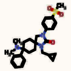 CN(C)C1(c2ccccc2)CCC2(CC1)CN(c1ccc(S(C)(=O)=O)cc1)C(=O)N2CC1CC1